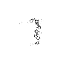 Cc1c(Nc2nccc3cc(CN4CCC(O)C4)cnc23)cccc1-c1cccc(-c2nc3cc(N(C)C4CCC(C(=O)O)CC4)cc(C#N)c3o2)c1C